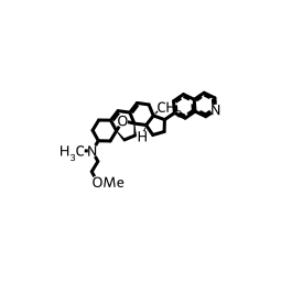 COCCN(C)C1CCC2=CC3=CC[C@@]4(C)C(c5ccc6ccncc6c5)CC[C@H]4[C@@]34CC[C@]2(C1)O4